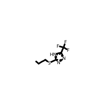 CC[CH]Sc1nnc(C(F)(F)F)[nH]1